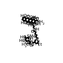 CCC1CC(C(=O)NC(C(C)Cl)C2O[C@H](SC)C(O)[C@H](O)[C@H]2O)CN(CCCCCC(=O)NCCN[C@@H]2C(O)=C(C(N)=O)C(=O)[C@@]3(O)C(O)=C4C(=O)c5c(O)cccc5[C@@](C)(O)[C@H]4C[C@@H]23)C1